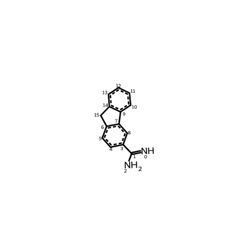 N=C(N)c1ccc2c(c1)-c1ccccc1C2